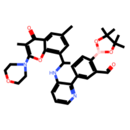 Cc1cc(C(C)Nc2cccnc2-c2ccc(B3OC(C)(C)C(C)(C)O3)c(C=O)c2)c2oc(N3CCOCC3)c(C)c(=O)c2c1